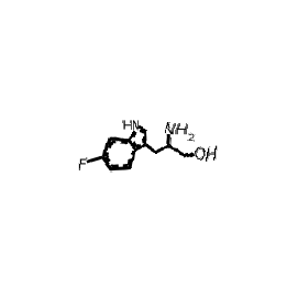 NC(CO)Cc1c[nH]c2cc(F)ccc12